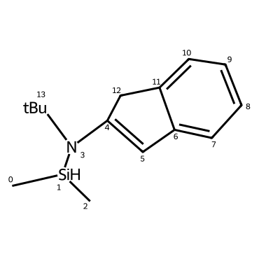 C[SiH](C)N(C1=Cc2ccccc2C1)C(C)(C)C